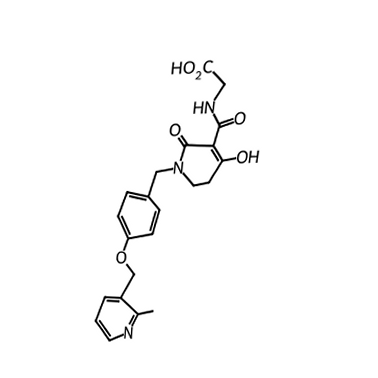 Cc1ncccc1COc1ccc(CN2CCC(O)=C(C(=O)NCC(=O)O)C2=O)cc1